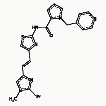 CC(C)c1nc(/C=C/c2csc(NC(=O)c3cccn3Cc3ccncc3)n2)cn1C